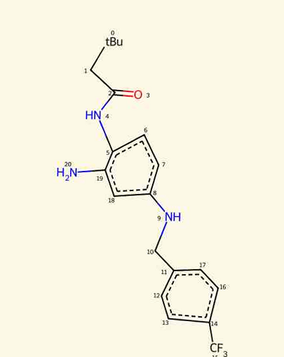 CC(C)(C)CC(=O)Nc1ccc(NCc2ccc(C(F)(F)F)cc2)cc1N